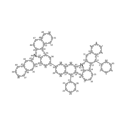 c1ccc(-c2c3ccccc3cc3c2c2cccc4c5c(-c6ccccc6)c6ccc(-c7cc8c9cc%10ccccc%10cc9n9c%10ccc%11ccccc%11c%10c(c7)c89)cc6cc5n3c24)cc1